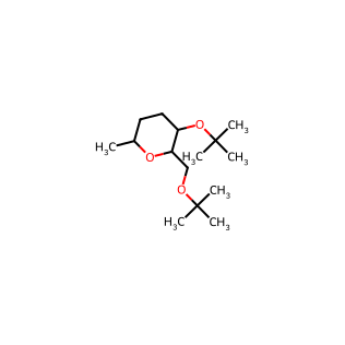 CC1CCC(OC(C)(C)C)C(COC(C)(C)C)O1